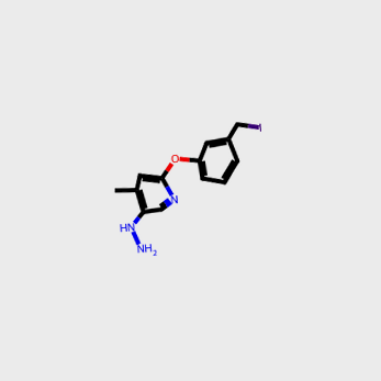 Cc1cc(Oc2cccc(CI)c2)ncc1NN